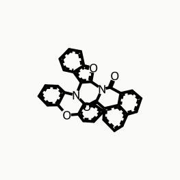 O=C1c2cccc3cccc(c23)C(=O)N1c1oc2ccccc2c1N1c2ccccc2Oc2ccccc21